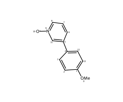 COc1ccc(-c2ccc[n+]([O-])c2)cc1